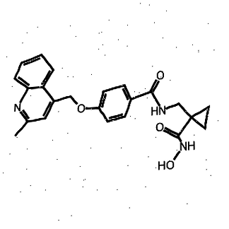 Cc1cc(COc2ccc(C(=O)NCC3(C(=O)NO)CC3)cc2)c2ccccc2n1